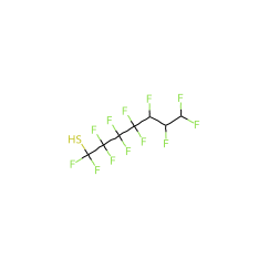 FC(F)C(F)C(F)C(F)(F)C(F)(F)C(F)(F)C(F)(F)S